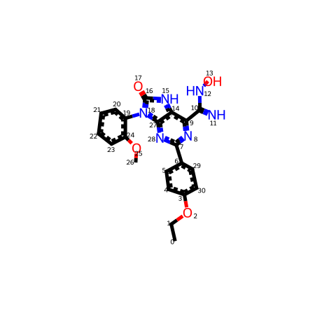 CCOc1ccc(-c2nc(C(=N)NO)c3[nH]c(=O)n(-c4ccccc4OC)c3n2)cc1